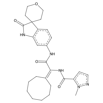 Cn1nccc1C(=O)NC(C(=O)Nc1ccc2c(c1)NC(=O)C21CCOCC1)=C1CCCCCCC1